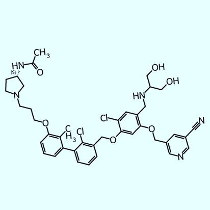 CC(=O)N[C@H]1CCN(CCCOc2cccc(-c3cccc(COc4cc(OCc5cncc(C#N)c5)c(CNC(CO)CO)cc4Cl)c3Cl)c2C)C1